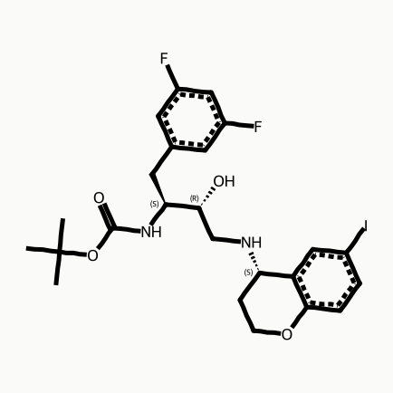 CC(C)(C)OC(=O)N[C@@H](Cc1cc(F)cc(F)c1)[C@H](O)CN[C@H]1CCOc2ccc(I)cc21